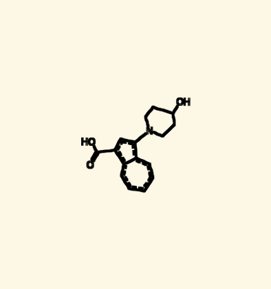 O=C(O)c1cc(N2CCC(O)CC2)c2cccccc1-2